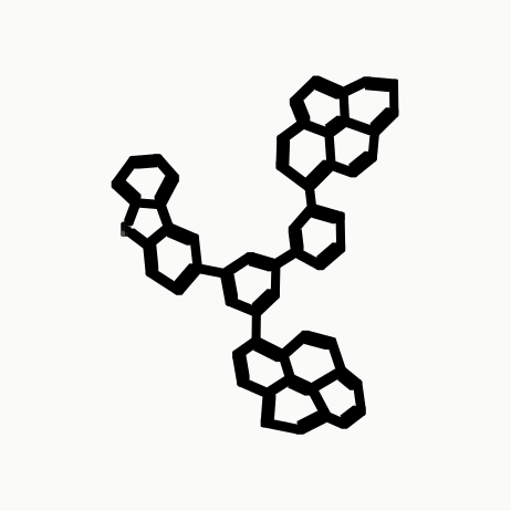 c1cc(-c2cc(-c3ccc4sc5ccccc5c4c3)cc(-c3ccc4ccc5cccc6ccc3c4c56)c2)cc(-c2ccc3ccc4cccc5ccc2c3c45)c1